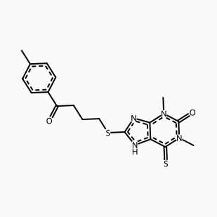 Cc1ccc(C(=O)CCCSc2nc3c([nH]2)c(=S)n(C)c(=O)n3C)cc1